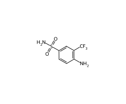 Nc1ccc(S(N)(=O)=O)cc1C(F)(F)F